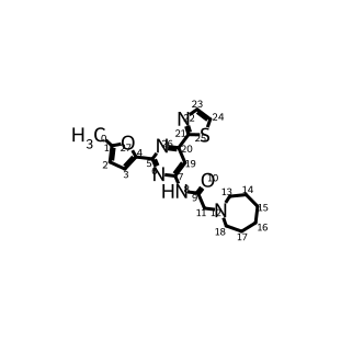 Cc1ccc(-c2nc(NC(=O)CN3CCCCCC3)cc(-c3nccs3)n2)o1